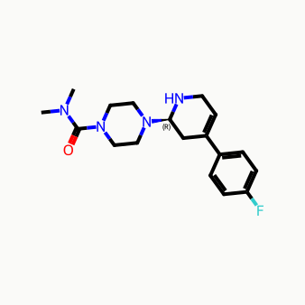 CN(C)C(=O)N1CCN([C@@H]2CC(c3ccc(F)cc3)=CCN2)CC1